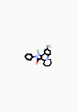 O=c1c2c(n(Cl)n1-c1ccccc1)-c1cc([N+](=O)[O-])ccc1N1CCCCCC21